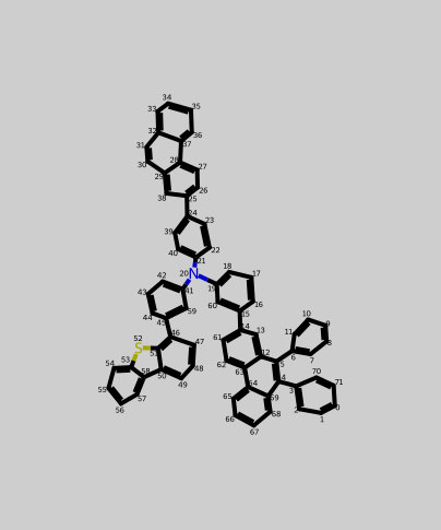 c1ccc(-c2c(-c3ccccc3)c3cc(-c4cccc(N(c5ccc(-c6ccc7c(ccc8ccccc87)c6)cc5)c5cccc(-c6cccc7c6sc6ccccc67)c5)c4)ccc3c3ccccc23)cc1